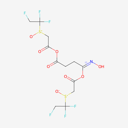 O=C(CC/C(=N/O)OC(=O)C[S+]([O-])C(F)(F)CF)OC(=O)C[S+]([O-])C(F)(F)CF